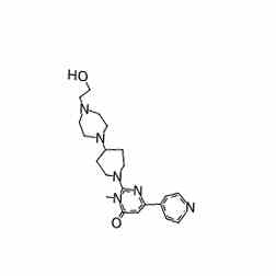 Cn1c(N2CCC(N3CCN(CCO)CC3)CC2)nc(-c2ccncc2)cc1=O